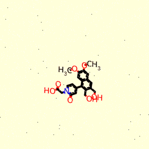 COc1cc2cc(CO)c(CO)c(-c3ccn(CC(=O)O)c(=O)c3)c2cc1OC